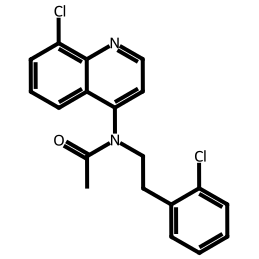 CC(=O)N(CCc1ccccc1Cl)c1ccnc2c(Cl)cccc12